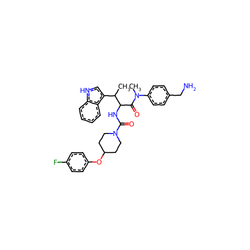 CC(c1c[nH]c2ccccc12)C(NC(=O)N1CCC(Oc2ccc(F)cc2)CC1)C(=O)N(C)c1ccc(CN)cc1